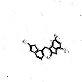 CC1=Cc2cccc(CC3=C(C)Cc4c(C)cc(C)cc43)c2C1